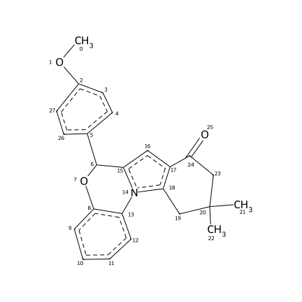 COc1ccc(C2Oc3ccccc3-n3c2cc2c3CC(C)(C)CC2=O)cc1